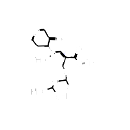 COC(=O)/C(=C/N(C)[C@H]1CCOCC1=O)COC(C)OC(C)C